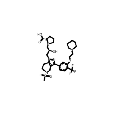 CS(=O)(=O)N1CCc2c(c(-c3ccc(C(F)(F)F)c(SCCN4CCCCC4)c3)nn2CC(O)CN2CCC[C@H]2C(=O)O)C1